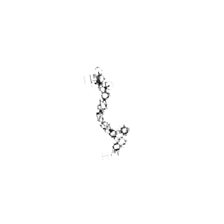 O=C1CCC(N2Cc3cc(N4CCC5(CC4)CN(CC4CCN(c6ccc([C@@H]7c8ccc(O)cc8CC[C@@H]7c7ccccc7)cc6)CC4)C5)ccc3C2=O)C(=O)N1